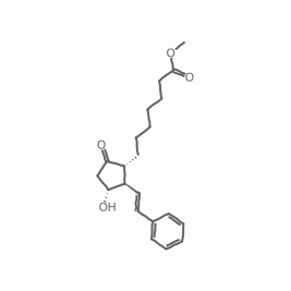 COC(=O)CCCCCC[C@H]1C(=O)C[C@@H](O)[C@@H]1/C=C/c1ccccc1